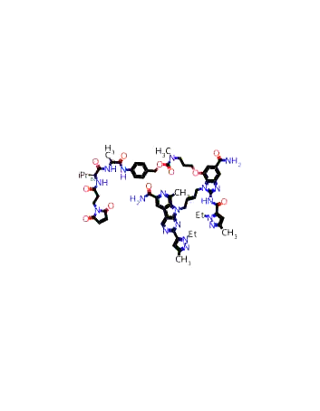 CCn1nc(C)cc1C(=O)Nc1nc2cc(C(N)=O)cc(OCCCN(C)C(=O)OCc3ccc(NC(=O)[C@H](C)NC(=O)[C@@H](NC(=O)CCN4C(=O)C=CC4=O)C(C)C)cc3)c2n1C/C=C/Cn1c2nc(-c3cc(C)nn3CC)ncc2c2cc(C(N)=O)nc(C)c21